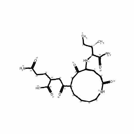 CC[C@H](C)[C@H](NC1CCC(=O)NCCCCC(C(=O)CC(CCC(N)=O)C(=O)O)CC1=O)C(N)=O